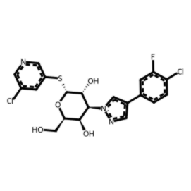 OC[C@H]1O[C@H](Sc2cncc(Cl)c2)[C@H](O)[C@@H](n2cc(-c3ccc(Cl)c(F)c3)cn2)[C@H]1O